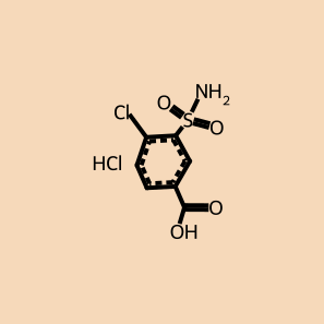 Cl.NS(=O)(=O)c1cc(C(=O)O)ccc1Cl